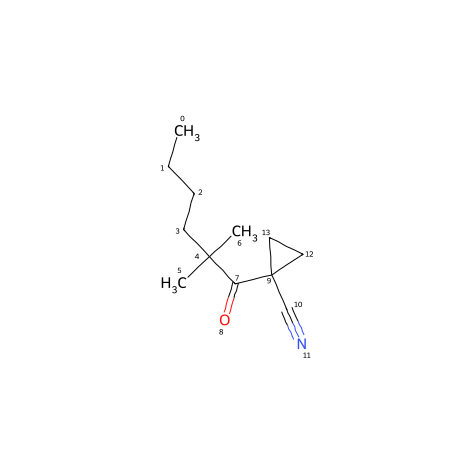 CCCCC(C)(C)C(=O)C1(C#N)CC1